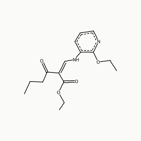 CCCC(=O)C(=CNc1cccnc1OCC)C(=O)OCC